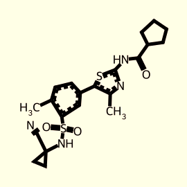 Cc1ccc(-c2sc(NC(=O)C3CCCC3)nc2C)cc1S(=O)(=O)NC1(C#N)CC1